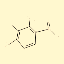 Nc1c([N+](=O)[O-])ccc(Br)c1Cl